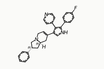 Fc1ccc(-c2[nH]cc(C3=CCN4C[C@@H](c5ccccc5)C[C@@H]4C3)c2-c2ccncc2)cc1